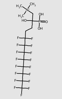 C[N+](C)(C)CC(O)(CCC(F)(F)C(F)(F)C(F)(F)C(F)(F)C(F)(F)C(F)(F)C(F)(F)C(F)(F)F)P(=O)(O)O